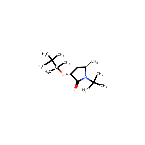 C[C@H]1C[C@@H](O[Si](C)(C)C(C)(C)C)C(=O)N1C(C)(C)C